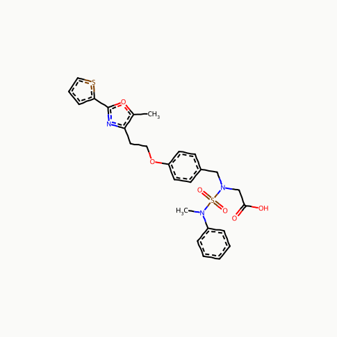 Cc1oc(-c2cccs2)nc1CCOc1ccc(CN(CC(=O)O)S(=O)(=O)N(C)c2ccccc2)cc1